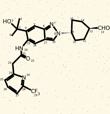 CC(C)(O)c1cc2nn([C@H]3CC[C@H](C=O)CC3)cc2cc1NC(=O)Cc1cccc(C(F)(F)F)n1